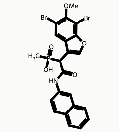 COc1c(Br)cc2c(C(C(=O)Nc3ccc4ccccc4c3)P(C)(=O)O)coc2c1Br